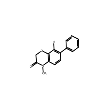 CN1C(=O)COc2c1ccc(-c1cccnc1)c2Cl